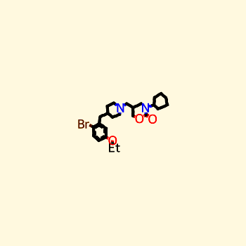 CCOc1ccc(Br)c(CC2CCN(CC3COC(=O)N(C4CCCCC4)C3)CC2)c1